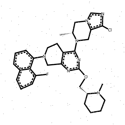 C[C@@H]1Cn2cnc(Cl)c2CN1c1nc(OC[C@H]2CCCCN2C)nc2c1CCN(c1cccc3cccc(F)c13)C2